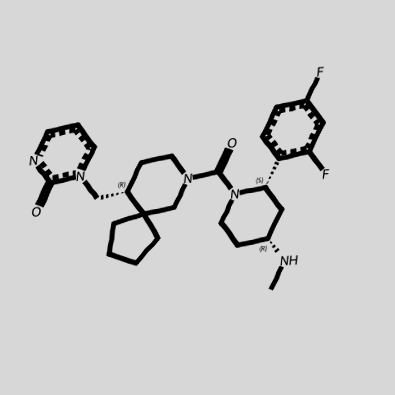 CN[C@@H]1CCN(C(=O)N2CC[C@@H](Cn3cccnc3=O)C3(CCCC3)C2)[C@H](c2ccc(F)cc2F)C1